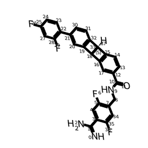 N=C(N)c1cc(F)c(CNC(=O)c2ccc3c(c2)C2c4cc(-c5ccc(F)cc5F)ccc4[C@@H]32)cc1F